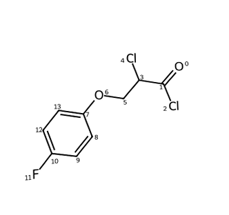 O=C(Cl)C(Cl)COc1ccc(F)cc1